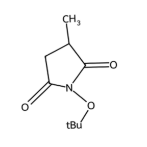 CC1CC(=O)N(OC(C)(C)C)C1=O